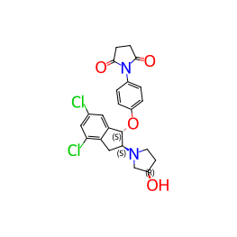 O=C1CCC(=O)N1c1ccc(O[C@H]2c3cc(Cl)cc(Cl)c3C[C@@H]2N2CC[C@@H](O)C2)cc1